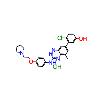 Cc1cc(-c2cc(O)ccc2Cl)cc2nnc(Nc3ccc(OCCN4CCCC4)cc3)nc12.Cl